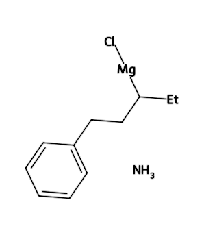 CC[CH](CCc1ccccc1)[Mg][Cl].N